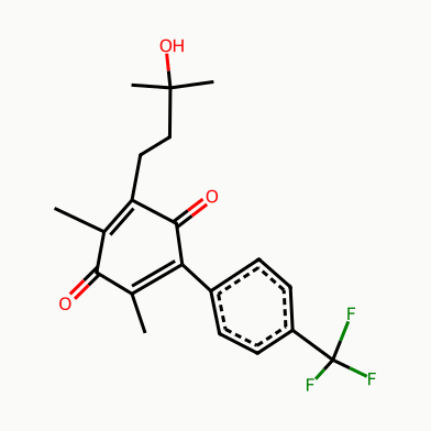 CC1=C(CCC(C)(C)O)C(=O)C(c2ccc(C(F)(F)F)cc2)=C(C)C1=O